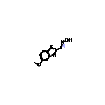 COc1ccc2sc(/C=N/O)nc2c1